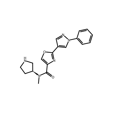 CN(C(=O)c1coc(-c2cnn(-c3ccccc3)c2)n1)[C@H]1CCNC1